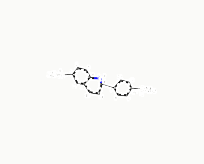 CCCCCCCCCCc1ccc2nc(-c3ccc(OC)cc3)ccc2c1